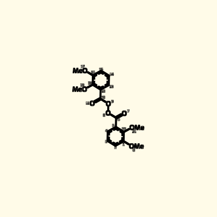 COc1cccc(C(=O)OOC(=O)c2cccc(OC)c2OC)c1OC